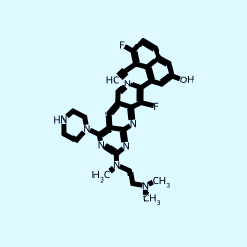 C#Cc1c(F)ccc2cc(O)cc(-c3ncc4cc5c(N6CCNCC6)nc(N(C)CCN(C)C)nc5nc4c3F)c12